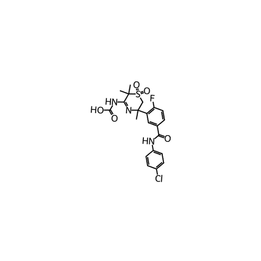 CC1(c2cc(C(=O)Nc3ccc(Cl)cc3)ccc2F)CS(=O)(=O)C(C)(C)C(NC(=O)O)=N1